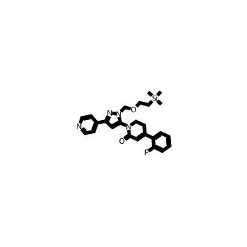 C[Si](C)(C)CCOCn1nc(-c2ccncc2)cc1N1CCC(c2ccccc2F)=CC1=O